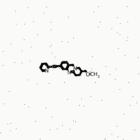 COCC1CCC2=Nc3cc(C#Cc4ccccn4)ccc3CN2C1